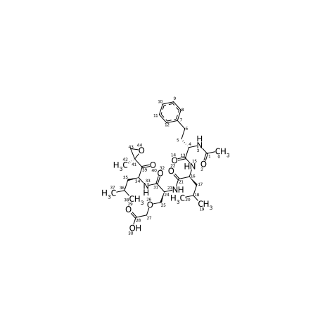 CC(=O)N[C@@H](CCc1ccccc1)C(=O)N[C@@H](CC(C)C)C(=O)N[C@@H](COCC(=O)O)C(=O)N[C@@H](CC(C)C)C(=O)[C@@]1(C)CO1